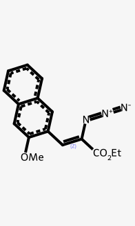 CCOC(=O)/C(=C/c1cc2ccccc2cc1OC)N=[N+]=[N-]